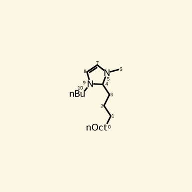 CCCCCCCCCCCC1N(C)C=CN1CCCC